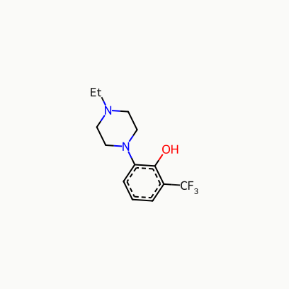 CCN1CCN(c2cccc(C(F)(F)F)c2O)CC1